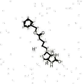 O=C1N[C@H]2[C@H](CS[C@H]2CCCCC(=O)OCc2ccccc2)N1.[H+]